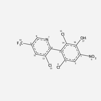 O=[N+]([O-])c1cc(Cl)c(-c2ncc(C(F)(F)F)cc2Cl)c(Cl)c1O